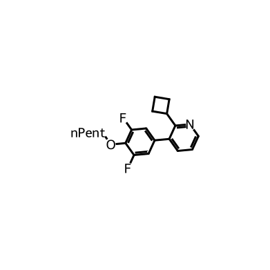 CCCCCOc1c(F)cc(-c2cccnc2C2CCC2)cc1F